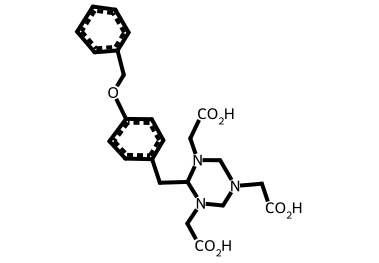 O=C(O)CN1CN(CC(=O)O)C(Cc2ccc(OCc3ccccc3)cc2)N(CC(=O)O)C1